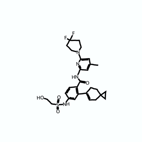 Cc1cc(NC(=O)c2ccc(NS(=O)(=O)CCO)cc2C2=CCC3(CC2)CC3)nc(N2CCC(F)(F)CC2)c1